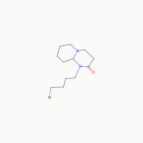 O=C1CCN2CCCCC2N1CCCCBr